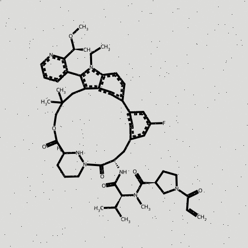 C=CC(=O)N1CC[C@H](C(=O)N(C)[C@H](C(=O)N[C@H]2Cc3cc(F)cc(c3)-c3ccc4c(c3)c(c(-c3cccnc3[C@H](C)OC)n4CC)CC(C)(C)COC(=O)[C@@H]3CCCN(N3)C2=O)C(C)C)C1